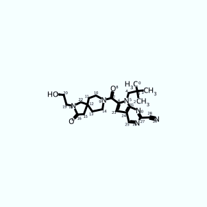 CC(C)(C)Cn1c(C(=O)N2CCC3(CC2)CC(=O)N(CCO)C3)cc2cnc(C#N)nc21